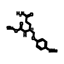 CSc1ccc(OC[C@H](CCC(N)=O)NC(=O)OC(C)(C)C)cc1